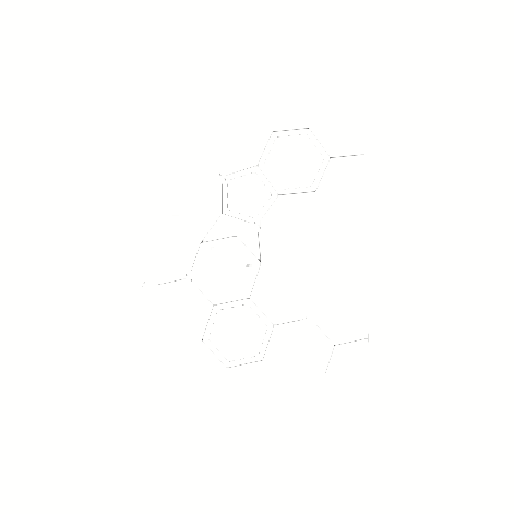 CC(=O)N1c2cccc(OC(F)F)c2[C@H]2C[C@@H]1c1nc3ccc(Cl)cc3n12